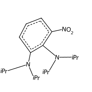 CC(C)N(c1cccc([N+](=O)[O-])c1N(C(C)C)C(C)C)C(C)C